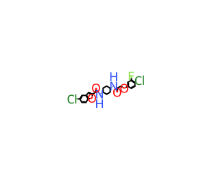 O=C(COc1ccc(Cl)c(F)c1)N[C@H]1CC[C@@H](NC(=O)c2cc3cc(Cl)ccc3o2)CC1